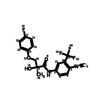 [C-]#[N+]c1ccc(NC(=O)[C@@](C)(O)COc2ccc(F)cc2)cc1C(F)(F)F